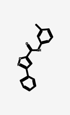 Cc1cccc(NC(=O)c2cc(-c3ccccc3)no2)c1